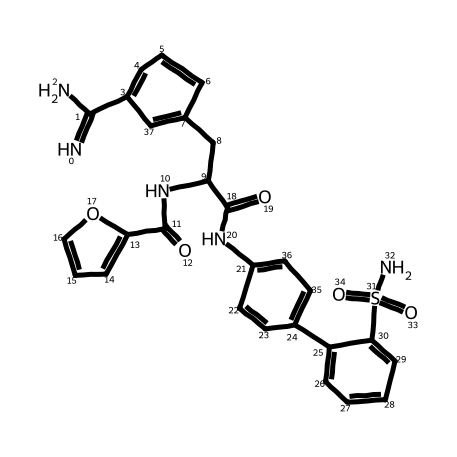 N=C(N)c1cccc(CC(NC(=O)c2ccco2)C(=O)Nc2ccc(-c3ccccc3S(N)(=O)=O)cc2)c1